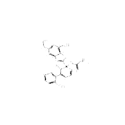 Cc1ccccc1C1=CC=CC(OC(N)=O)(c2nc3cc(CO)cc(C#N)c3o2)C1Cl